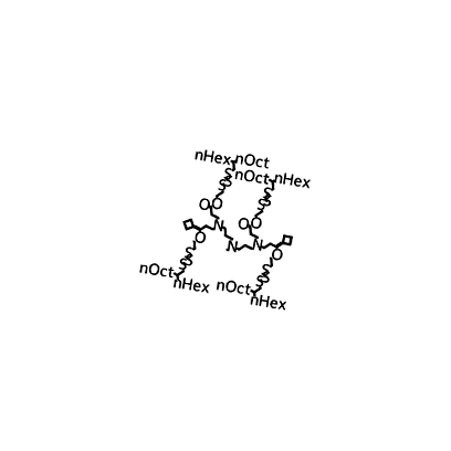 CCCCCCCCC(CCCCCC)CSSSCCOC(=O)CCN(CCCN(C)CCCN(CCC(=O)OCCSSSCC(CCCCCC)CCCCCCCC)CCC(OCCSSSCC(CCCCCC)CCCCCCCC)=C1CCC1)CCC(OCCSSSCC(CCCCCC)CCCCCCCC)=C1CCC1